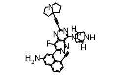 C#Cc1cccc2cc(N)cc(-c3nnc4c(N5C[C@@H]6C[C@H]5CN6)nc(C#CC56CCCN5CCC6)nc4c3F)c12